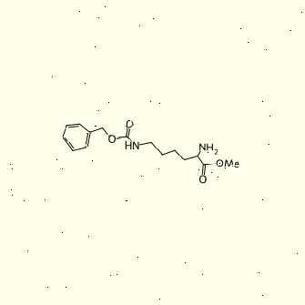 COC(=O)C(N)CCCCNC(=O)OCc1ccccc1